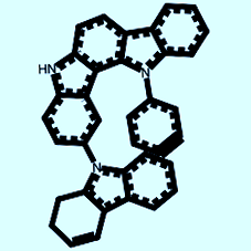 c1ccc(-n2c3ccccc3c3ccc4[nH]c5ccc(-n6c7c(c8ccccc86)C=CCC7)cc5c4c32)cc#1